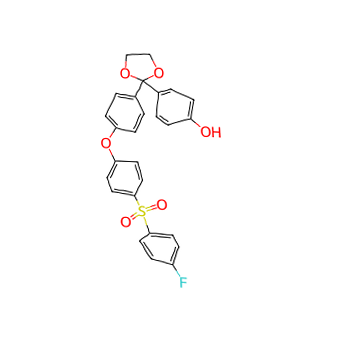 O=S(=O)(c1ccc(F)cc1)c1ccc(Oc2ccc(C3(c4ccc(O)cc4)OCCO3)cc2)cc1